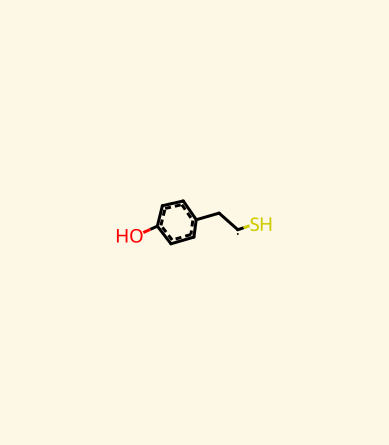 Oc1ccc(C[CH]S)cc1